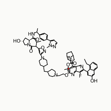 CCc1cccc2cc(O)cc(-c3ncc4c(N5CC6CCC(C5)N6C(=O)OC(C)(C)C)nc(OCCN5CCC(CC6CCN(c7cc(C(C(=O)N8C[C@H](O)C[C@H]8C(=O)NC(C)c8ccc(-c9ccnn9C)cc8)C(C)C)on7)CC6)CC5)nc4c3F)c12